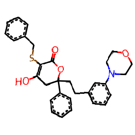 O=C1OC(CCc2cccc(N3CCOCC3)c2)(c2ccccc2)CC(O)=C1SCc1ccccc1